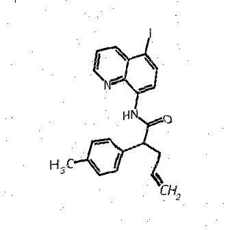 C=CCC(C(=O)Nc1ccc(I)c2cccnc12)c1ccc(C)cc1